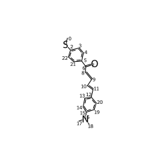 CSc1ccc(C(=O)/C=C/C=C/c2ccc(N(C)C)cc2)cc1